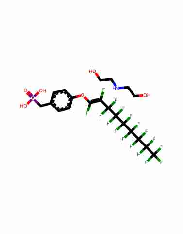 O=P(O)(O)Cc1ccc(OC(F)=C(F)C(F)(F)C(F)(F)C(F)(F)C(F)(F)C(F)(F)C(F)(F)C(F)(F)F)cc1.OCCNCCO